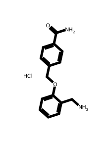 Cl.NCc1ccccc1OCc1ccc(C(N)=O)cc1